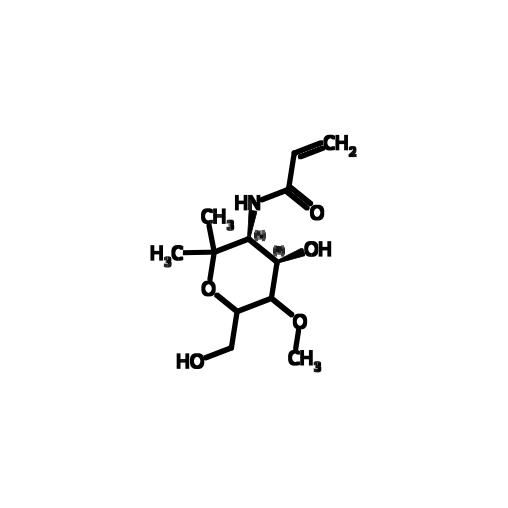 C=CC(=O)N[C@H]1[C@@H](O)C(OC)C(CO)OC1(C)C